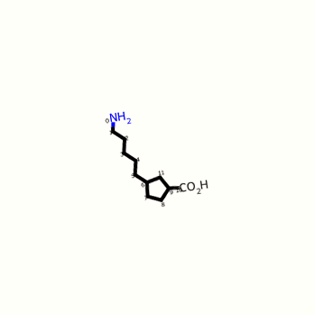 NCCCCCC1CCC(C(=O)O)C1